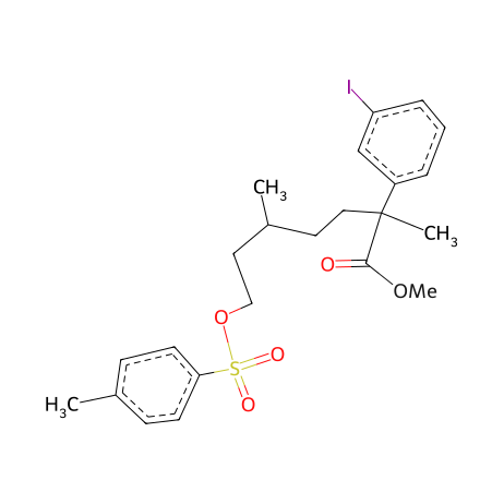 COC(=O)C(C)(CCC(C)CCOS(=O)(=O)c1ccc(C)cc1)c1cccc(I)c1